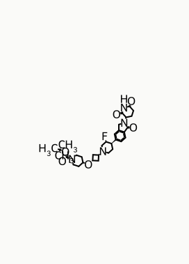 CC(C)(C)OC(=O)N1CCC(O[C@H]2C[C@H](N3CC[C@H](c4ccc5c(c4)CN(C4CCC(=O)NC4=O)C5=O)[C@H](F)C3)C2)CC1